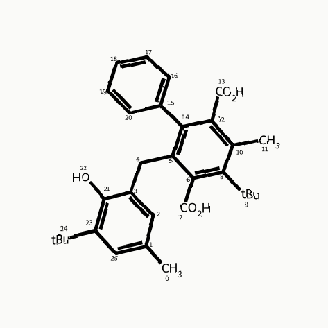 Cc1cc(Cc2c(C(=O)O)c(C(C)(C)C)c(C)c(C(=O)O)c2-c2ccccc2)c(O)c(C(C)(C)C)c1